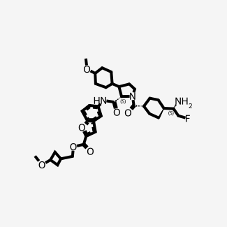 COC1CCC(C2CCN(C(=O)[C@H]3CC[C@H]([C@H](N)CF)CC3)[C@@H]2C(=O)Nc2ccc3oc(C(=O)OCC4CC(OC)C4)cc3c2)CC1